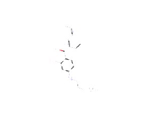 C=C/C(=C\C=C/C)C(=O)c1ccc(N(C)CCOC)cc1O